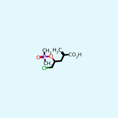 C=C(CC(CCl)OP(C)(C)=O)C(=O)O